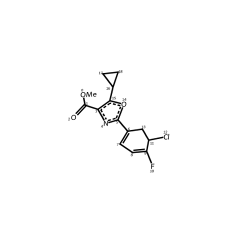 COC(=O)c1nc(C2=CC=C(F)C(Cl)C2)oc1C1CC1